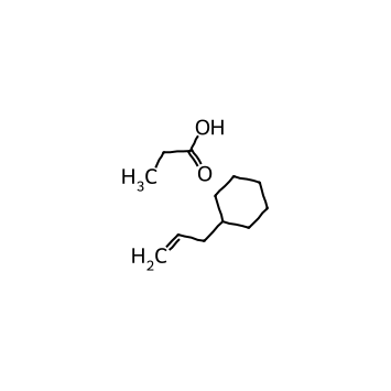 C=CCC1CCCCC1.CCC(=O)O